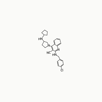 N#Cc1c(NCc2ccc(Cl)cc2)nc2ccccc2c1N1CCC(NC2CCCC2)C1